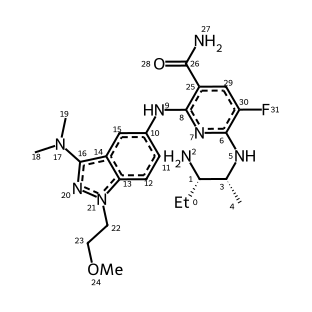 CC[C@H](N)[C@@H](C)Nc1nc(Nc2ccc3c(c2)c(N(C)C)nn3CCOC)c(C(N)=O)cc1F